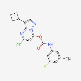 N#Cc1cc(F)cc(NC(=O)Oc2cc(Cl)nc3c(C4CCC4)cnn23)c1